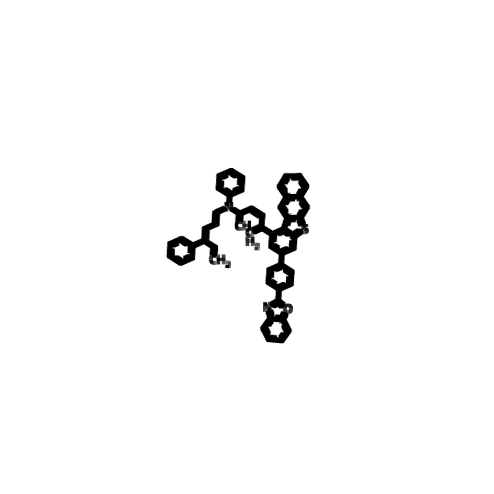 C=C/C(=C\C=C\N(C(=C)/C=C\C(=C)c1cc(-c2ccc(-c3nc4ccccc4o3)cc2)cc2sc3cc4ccccc4cc3c12)c1ccccc1)c1ccccc1